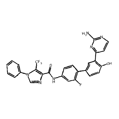 Nc1nccc(-c2cc(-c3ccc(NC(=O)c4ncn(-c5ccccc5)c4C(F)(F)F)cc3F)ccc2O)n1